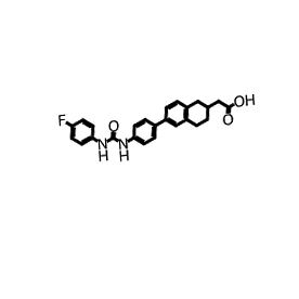 O=C(O)CC1CCc2cc(-c3ccc(NC(=O)Nc4ccc(F)cc4)cc3)ccc2C1